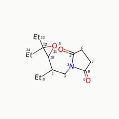 CCC(CN1C(=O)CCC1=O)C1OC1(CC)CC